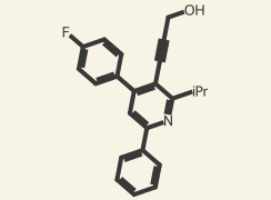 CC(C)c1nc(-c2ccccc2)cc(-c2ccc(F)cc2)c1C#CCO